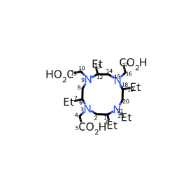 CCC1CN(CC(=O)O)C(CC)CN(CC(=O)O)C(CC)CN(CC(=O)O)C(CC)CN1CC